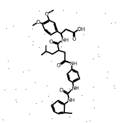 COc1ccc(C(CC(=O)O)NC(=O)C(CC(=O)Nc2ccc(NC(=O)Nc3ccccc3C)cc2)CC(C)C)cc1OC